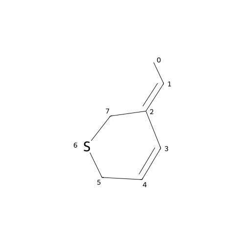 C/C=C1/C=CCSC1